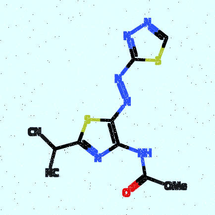 [C-]#[N+]C([N+]#[C-])c1nc(NC(=O)OC)c(/N=N/c2nncs2)s1